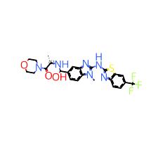 C[C@H](NC(O)c1ccc2c(c1)nc(Nc1nc3ccc(C(F)(F)F)cc3s1)n2C)C(=O)N1CCOCC1